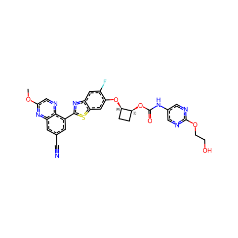 COc1cnc2c(-c3nc4cc(F)c(O[C@@H]5CC[C@@H]5OC(=O)Nc5cnc(OCCO)nc5)cc4s3)cc(C#N)cc2n1